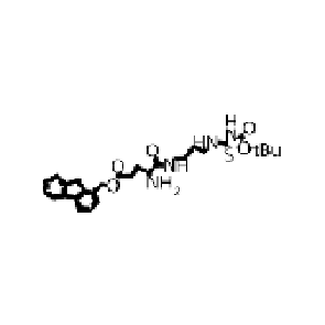 CC(C)(C)OC(=O)NC(=S)NCCCCNC(=O)C(N)CCC(=O)OCc1cccc2c1Cc1ccccc1-2